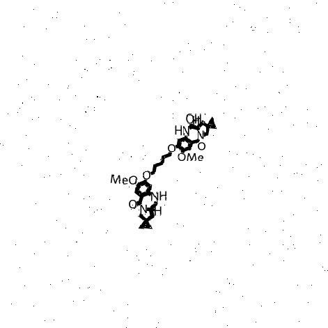 COc1cc2c(cc1OCCCCCOc1cc3c(cc1OC)C(=O)N1CC4(CC4)C[C@H]1C(O)N3)NC[C@@H]1CC3(CC3)CN1C2=O